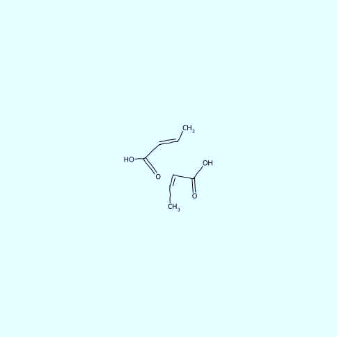 C/C=C/C(=O)O.C/C=C\C(=O)O